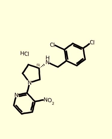 Cl.O=[N+]([O-])c1cccnc1N1CC[C@H](NCc2ccc(Cl)cc2Cl)C1